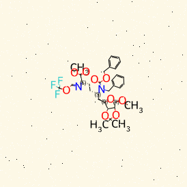 COC(=O)[C@H](CC[C@@H](C[C@H]1O[C@@H](OC)C2OC(C)(C)OC21)N(Cc1ccccc1)C(=O)OCc1ccccc1)N=COC(F)(F)F